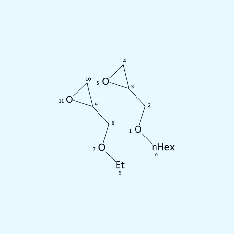 CCCCCCOCC1CO1.CCOCC1CO1